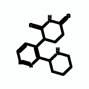 O=C1CCC(c2ccnnc2C2CCCCN2)C(=O)N1